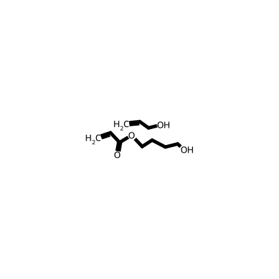 C=CC(=O)OCCCCO.C=CCO